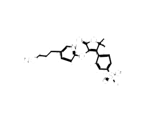 CC1(C)OC(=O)C(Oc2ccc(CCCC#N)cn2)=C1c1ccc(S(C)(=O)=O)cc1